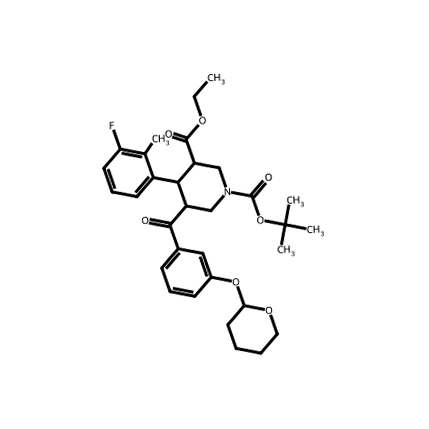 CCOC(=O)C1CN(C(=O)OC(C)(C)C)CC(C(=O)c2cccc(OC3CCCCO3)c2)C1c1cccc(F)c1C